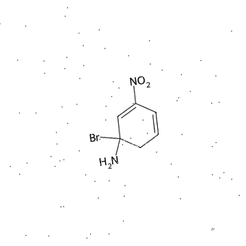 NC1(Br)C=C([N+](=O)[O-])C=CC1